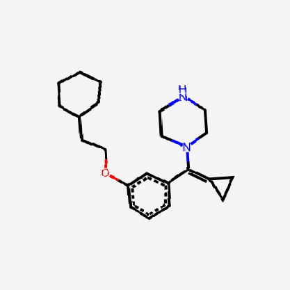 c1cc(OCCC2CCCCC2)cc(C(=C2CC2)N2CCNCC2)c1